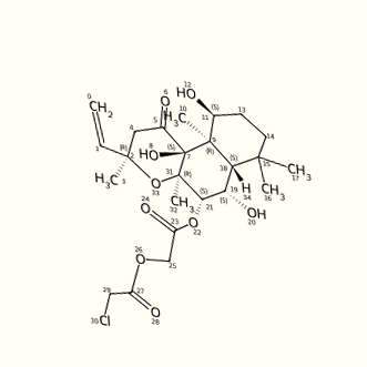 C=C[C@@]1(C)CC(=O)[C@]2(O)[C@@]3(C)[C@@H](O)CCC(C)(C)[C@@H]3[C@H](O)[C@H](OC(=O)COC(=O)CCl)[C@@]2(C)O1